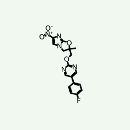 CC1(COc2ncc(-c3ccc(F)cc3)cn2)Cn2cc([N+](=O)[O-])nc2O1